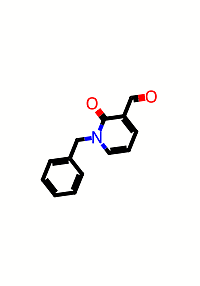 O=Cc1cccn(Cc2ccccc2)c1=O